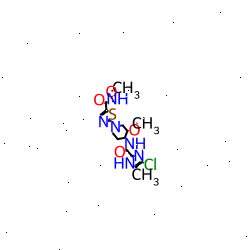 CONC(=O)c1cnc(N2CCC(NC(=O)c3nc(Cl)c(C)[nH]3)[C@@H](OC)C2)s1